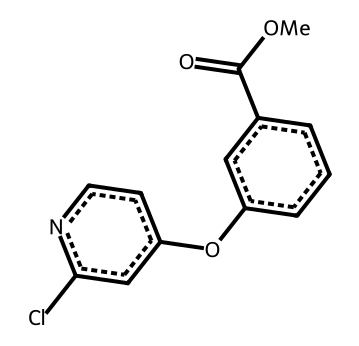 COC(=O)c1cccc(Oc2ccnc(Cl)c2)c1